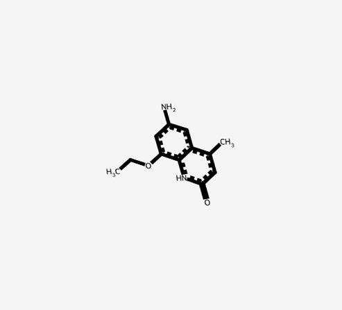 CCOc1cc(N)cc2c(C)cc(=O)[nH]c12